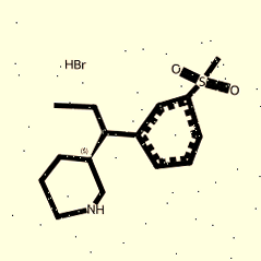 Br.CCC(c1cccc(S(C)(=O)=O)c1)[C@@H]1CCCNC1